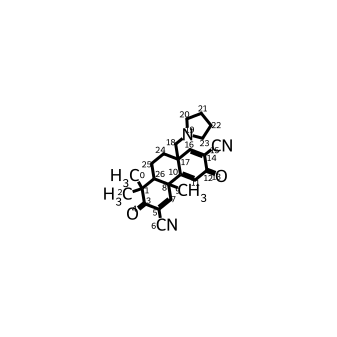 CC1(C)C(=O)C(C#N)=CC2(C)C3=CC(=O)C(C#N)=CC3(CN3CCCC3)CCC12